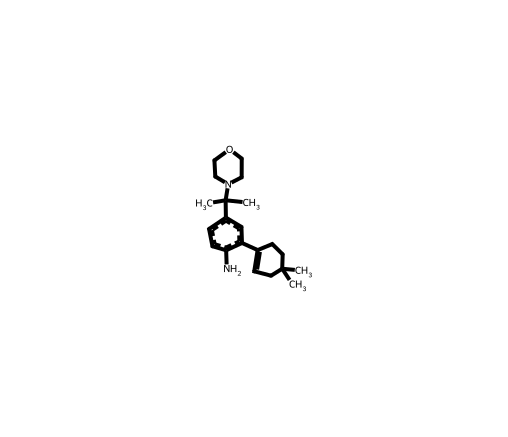 CC1(C)CC=C(c2cc(C(C)(C)N3CCOCC3)ccc2N)CC1